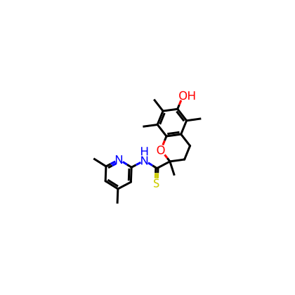 Cc1cc(C)nc(NC(=S)C2(C)CCc3c(C)c(O)c(C)c(C)c3O2)c1